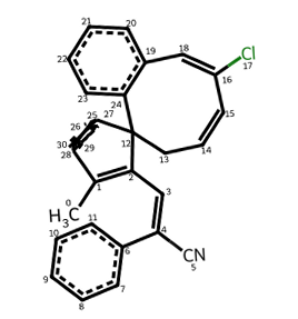 CC1=C(/C=C(/C#N)c2ccccc2)C2(C/C=C\C(Cl)=C/c3ccccc32)c2ccccc21